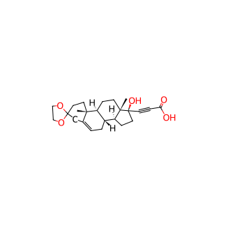 C[C@]12CCC3(CC1=CC[C@@H]1[C@@H]2CC[C@@]2(C)[C@H]1CC[C@@]2(O)C#CC(=O)O)OCCO3